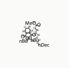 CCCCCCCCCCCCCCCC=CC(=O)OC.CCCCOC(=O)c1ccccc1C(=O)OCCCC